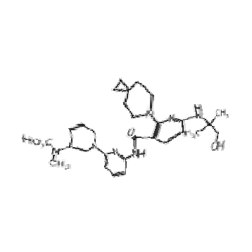 CN(C(=O)O)C1CCCN(c2cccc(NC(=O)c3ccc(NC(C)(C)CO)nc3N3CCC4(CC3)CC4)n2)C1